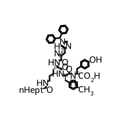 CCCCCCCC(=O)NCCCC[C@H](NC(=O)[C@@H](N)Cc1cn(C(c2ccccc2)c2ccccc2)cn1)C(=O)N[C@H](Cc1ccc(C)cc1)C(=O)N[C@@H](Cc1ccc(O)cc1)C(=O)O